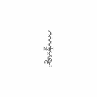 CCCCCCCCCCCCSOC(C)=O.[NaH]